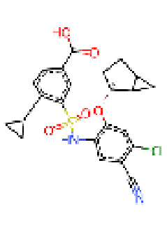 N#Cc1cc(NS(=O)(=O)c2cc(C(=O)O)ccc2C2CC2)c(O[C@@H]2CCC3CC32)cc1Cl